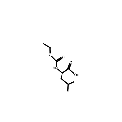 CCOC(=O)N[C@H](CC(C)C)C(=O)O